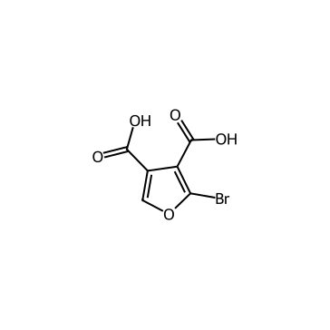 O=C(O)c1coc(Br)c1C(=O)O